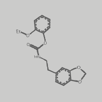 CCOc1ccccc1OC(=O)NCCc1ccc2c(c1)OCO2